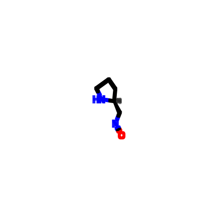 O=NC[C@@H]1CCCN1